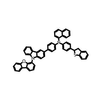 c1ccc2c(c1)CC(c1ccc(N(c3ccc(-c4ccc5c(c4)c4ccccc4n5-c4cccc5c4oc4ccccc45)cc3)c3cccc4ccccc34)cc1)S2